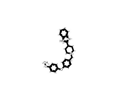 COc1ccc(Oc2ccc(CN3CCC(c4nc5ccccc5[nH]4)CC3)cc2)cc1